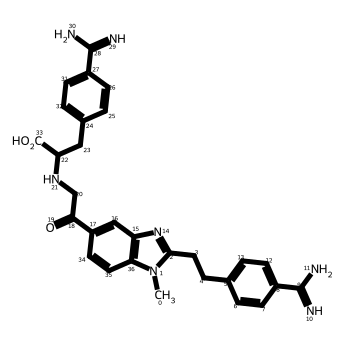 Cn1c(CCc2ccc(C(=N)N)cc2)nc2cc(C(=O)CNC(Cc3ccc(C(=N)N)cc3)C(=O)O)ccc21